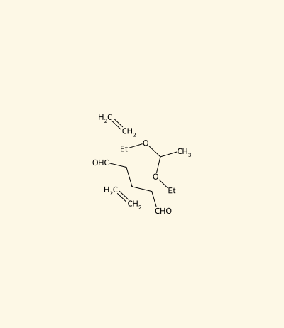 C=C.C=C.CCOC(C)OCC.O=CCCCC=O